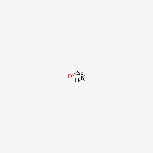 O=[Se].[B].[Li]